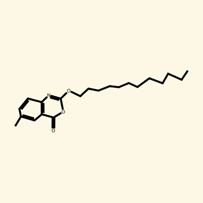 CCCCCCCCCCCCOc1nc2ccc(C)cc2c(=O)o1